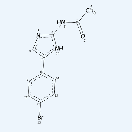 CC(=O)Nc1ncc(-c2ccc(Br)cc2)[nH]1